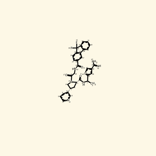 CC(NC(=O)[C@@H]1C[C@H](c2cccnc2)CN1C(=O)CNC(=O)c1ccc2c(c1)-c1ccccc1C2(F)F)c1cc(C(=N)N)cs1